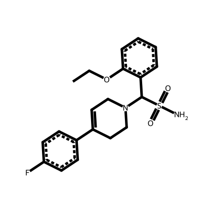 CCOc1ccccc1C(N1CC=C(c2ccc(F)cc2)CC1)S(N)(=O)=O